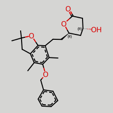 Cc1c(CC[C@@H]2C[C@@H](O)CC(=O)O2)c2c(c(C)c1OCc1ccccc1)CC(C)(C)O2